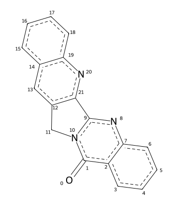 O=c1c2ccccc2nc2n1Cc1cc3ccccc3nc1-2